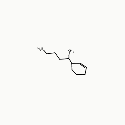 CC(CCCN)C1C=CCCC1